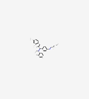 CCOC(=O)/C=C/c1ccc(/C(=C(/CC)c2ccc(F)cc2Cl)c2cc3ccc(F)cc3[nH]2)cc1